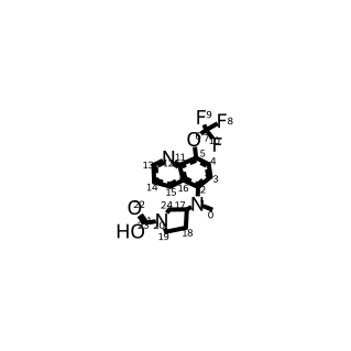 CN(c1ccc(OC(F)(F)F)c2ncccc12)C1CCN(C(=O)O)C1